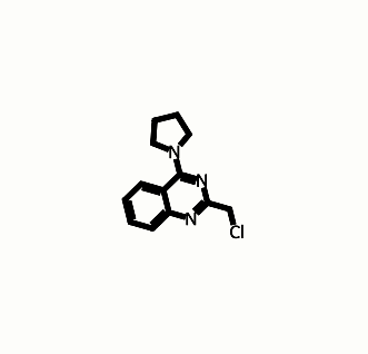 ClCc1nc(N2CCCC2)c2ccccc2n1